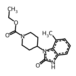 CCOC(=O)N1CCC(n2c(=O)[nH]c3cccc(C)c32)CC1